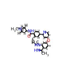 CNc1cc(Oc2ccnc(-c3ccc(C(=O)N[C@@H]4C[C@H]5C[C@@H]4CN5C)c(C)c3)c2)ccc1C(C)=N